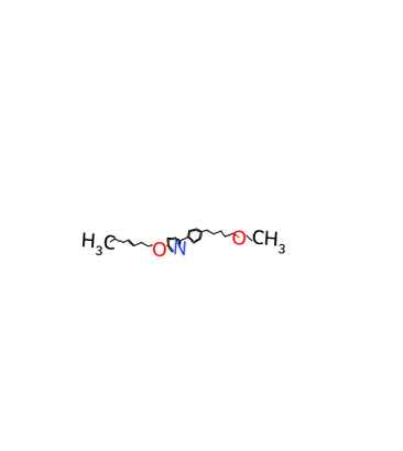 CCC/C=C/CCCOc1ccc(-c2ccc(CCCCCOCCC)cc2)nc1